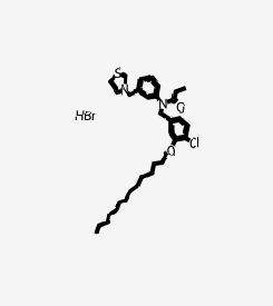 Br.CCCCCCCCCCCCCCOc1cc(CN(C(=O)CC)c2cccc(CN3C=CSC3)c2)ccc1Cl